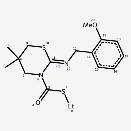 CCSC(=O)N1CC(C)(C)CS/C1=N\Cc1ccccc1OC